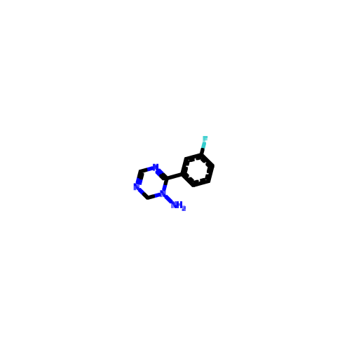 NN1CN=CN=C1c1cccc(F)c1